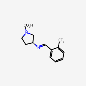 O=C(O)N1CC[C@H](/N=C/c2ccccc2C(F)(F)F)C1